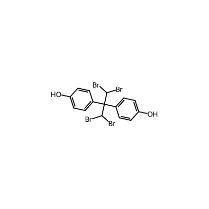 Oc1ccc(C(c2ccc(O)cc2)(C(Br)Br)C(Br)Br)cc1